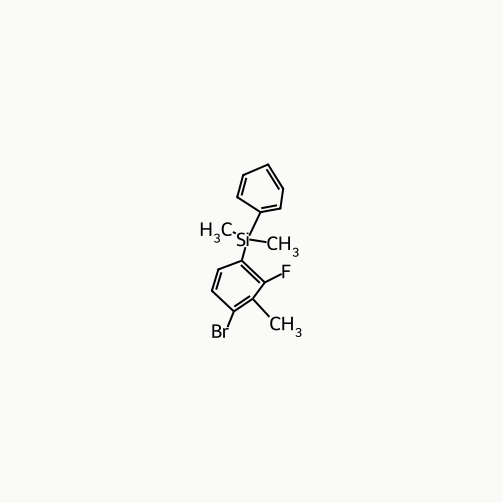 Cc1c(Br)ccc([Si](C)(C)c2ccccc2)c1F